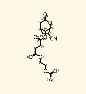 CC(=O)C(=O)OCCOC(=O)CCC(=O)OC1C2CC(=O)OC1C(C#N)C2